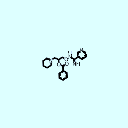 N=C(NOCC(CN1CCCCC1)OC(=O)c1ccccc1)c1cccnc1